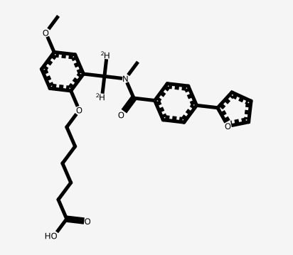 [2H]C([2H])(c1cc(OC)ccc1OCCCCCC(=O)O)N(C)C(=O)c1ccc(-c2ccco2)cc1